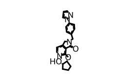 O=C1c2c(ccnc2O[C@@H]2CCC[C@H]2O)CN1Cc1ccc(-n2cccn2)cc1